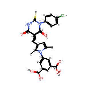 Cc1cc(C=C2C(=O)NC(=S)N(c3ccc(Cl)cc3)C2=O)c(C)n1-c1cc(C(=O)O)cc(C(=O)O)c1